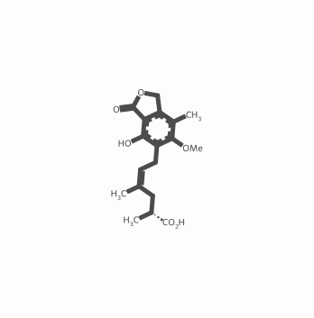 COc1c(C)c2c(c(O)c1CC=C(C)C[C@@H](C)C(=O)O)C(=O)OC2